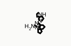 Nc1nc(N2CCCC3(CCCN3)C2)c2c(n1)C1(CCCC1)CCC2